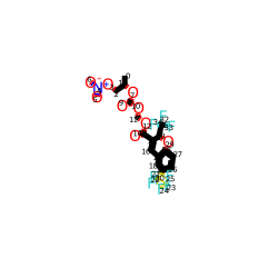 CC(CO[N+](=O)[O-])OC(=O)OCOC(=O)C1=Cc2cc(S(F)(F)(F)(F)F)ccc2OC1C(F)(F)F